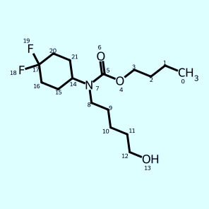 CCCCOC(=O)N(CCCCCO)C1CCC(F)(F)CC1